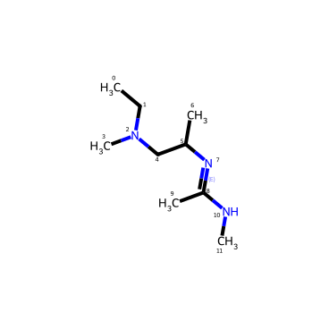 CCN(C)CC(C)/N=C(\C)NC